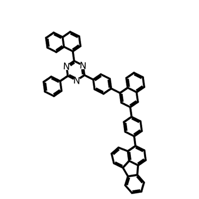 c1ccc(-c2nc(-c3ccc(-c4cc(-c5ccc(-c6ccc7c8c(cccc68)-c6ccccc6-7)cc5)cc5ccccc45)cc3)nc(-c3cccc4ccccc34)n2)cc1